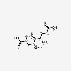 C[Se]C(C[C@H](N)C(=O)O)C(=O)[C@@H](N)CCC(=O)O